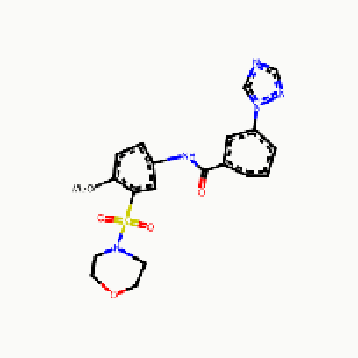 COc1ccc(NC(=O)c2cccc(-n3cncn3)c2)cc1S(=O)(=O)N1CCOCC1